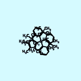 CC1=C(C)C(C)C([Si](c2c(C)cccc2[Si](C)(C)C)(c2c(C)cccc2[Si](C)(C)C)c2c(C)cccc2[Si](C)(C)C)=C1C